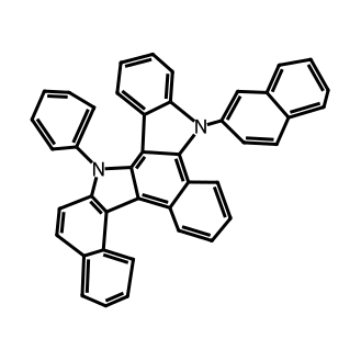 c1ccc(-n2c3ccc4ccccc4c3c3c4ccccc4c4c(c5ccccc5n4-c4ccc5ccccc5c4)c32)cc1